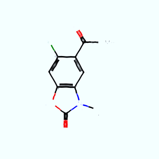 COC(=O)c1cc2c(cc1Br)oc(=O)n2C